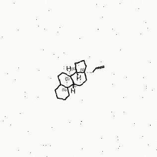 C=CC[C@@]12CCC[C@H]1[C@@H]1CCC3CCCC[C@]3(C)[C@H]1CC2